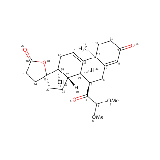 COC(OC)C(=O)[C@@H]1CC2=CC(=O)CC[C@]2(C)C2=CC[C@@]3(C)[C@@H](CC[C@@]34CCC(=O)O4)[C@@H]21